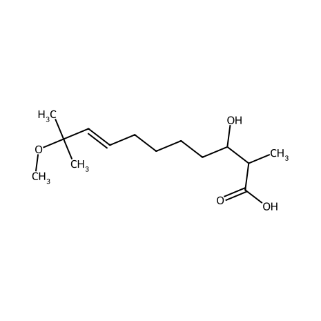 COC(C)(C)/C=C/CCCCC(O)C(C)C(=O)O